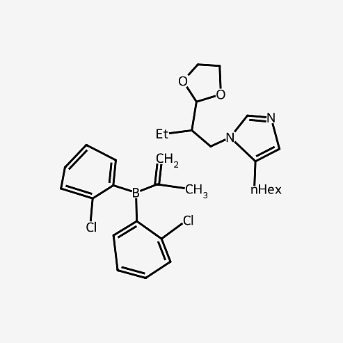 C=C(C)B(c1ccccc1Cl)c1ccccc1Cl.CCCCCCc1cncn1CC(CC)C1OCCO1